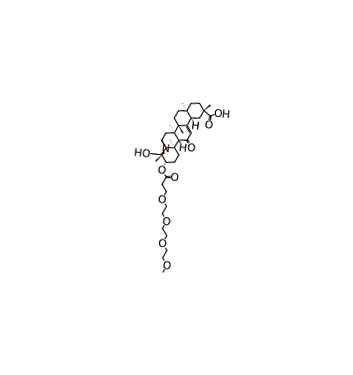 COCCOCCOCCOCCC(=O)O[C@H]1CC[C@]2(C)[C@H]3C(=O)C=C4[C@@H]5C[C@@](C)(C(=O)O)CC[C@]5(C)CC[C@@]4(C)[C@]3(C)CC[C@]23N=C(O)[C@]13C